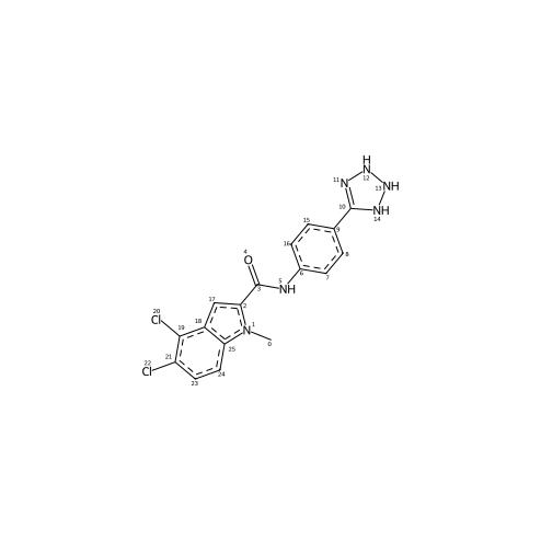 Cn1c(C(=O)Nc2ccc(C3=NNNN3)cc2)cc2c(Cl)c(Cl)ccc21